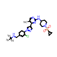 [2H]C([2H])([2H])NCc1ccc(-n2cc(-c3nc(NC4CCN(S(=O)(=O)C5CC5)CC4)ncc3C#N)cn2)c(Cl)c1